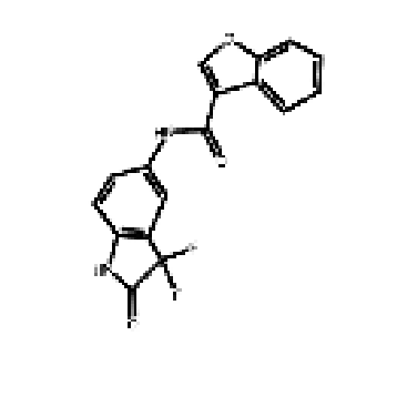 O=C(Nc1ccc2c(c1)C(F)(F)C(=O)N2)c1coc2ccccc12